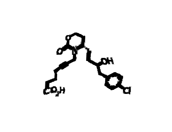 O=C(O)CCCC#CCN1C(=O)OCC[C@@H]1/C=C/C(O)Cc1ccc(Cl)cc1